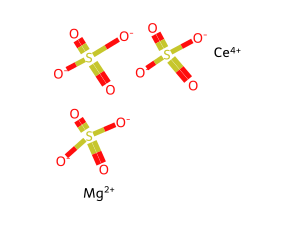 O=S(=O)([O-])[O-].O=S(=O)([O-])[O-].O=S(=O)([O-])[O-].[Ce+4].[Mg+2]